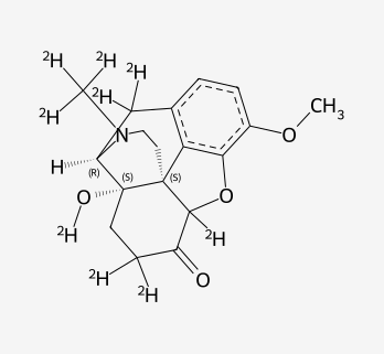 [2H]O[C@@]12CC([2H])([2H])C(=O)C3([2H])Oc4c(OC)ccc5c4[C@@]31CCN(C([2H])([2H])[2H])[C@@H]2C5([2H])[2H]